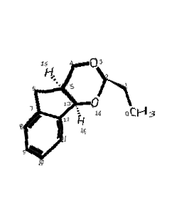 CC[C@@H]1OC[C@@H]2Cc3ccccc3[C@@H]2O1